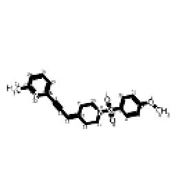 COc1ccc(S(=O)(=O)N2CCC(=CC#Cc3cccc(C)n3)CC2)cc1